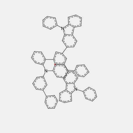 c1ccc(-c2ccc(N(c3cccc(-c4ccccc4)c3)c3ccccc3-c3cc(-c4ccc5c(c4)c4ccccc4n5-c4ccccc4)cc(-c4ccc5c6ccccc6n(-c6ccccc6)c5c4)c3)cc2)cc1